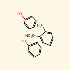 Nc1ccccc1S(=O)(=O)O.Oc1ccccc1.Oc1ccccc1